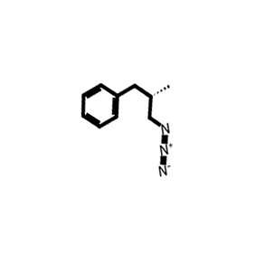 C[C@H](CN=[N+]=[N-])Cc1ccccc1